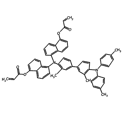 C=CC(=O)Oc1cccc2c(N(c3ccc(-c4ccc(N(c5ccc(C)cc5)c5ccc(C)cc5)c(C)c4)cc3C)c3cccc4c(OC(=O)C=C)cccc34)cccc12